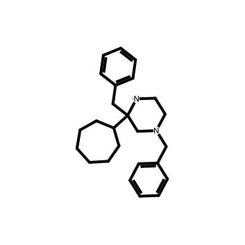 c1ccc(CN2CC[N]C(Cc3ccccc3)(C3CCCCCC3)C2)cc1